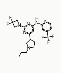 CCCN1CCC(c2cc(Nc3cc(C(F)(F)F)ccn3)nc(N3CC(F)(F)C3)n2)C1